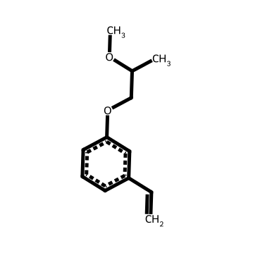 C=Cc1cccc(OCC(C)OC)c1